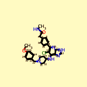 CNC(=O)Cc1ccc(-c2nc3[nH]cnc3c(NC3CCN(Cc4ccc(OC)cc4)CC3)c2Cl)cc1